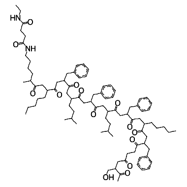 CCCCCC(CC(=O)C(C)CCCCNC(=O)CCC(=O)NCC)C(=O)CC(Cc1ccccc1)C(=O)CC(CCC(C)C)C(=O)CC(Cc1ccccc1)C(=O)CC(CCC(C)C)C(=O)CC(Cc1ccccc1)C(=O)CC(CCCCC)C(=O)CC(Cc1ccccc1)C(=O)CCC(=O)CC(CO)C(C)=O